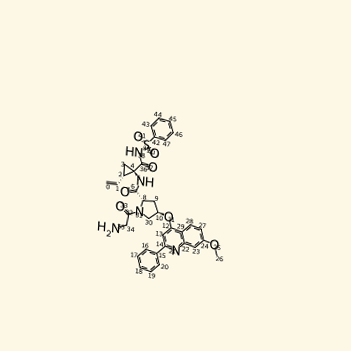 C=C[C@@H]1C[C@]1(NC(=O)[C@@H]1C[C@@H](Oc2cc(-c3ccccc3)nc3cc(OC)ccc23)CN1C(=O)CN)C(=O)NS(=O)(=O)c1ccccc1